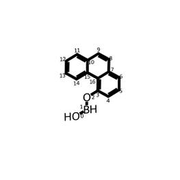 OBOc1cccc2ccc3ccccc3c12